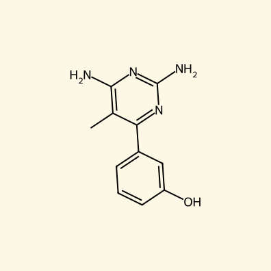 Cc1c(N)nc(N)nc1-c1cccc(O)c1